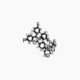 O=C(NC(c1ccc(F)cc1)c1ccc(F)cc1)[C@@H]1CC[C@H]([N+]2(OC(=O)C(F)(F)F)CCOCC2)C[C@H]1c1ccccc1F